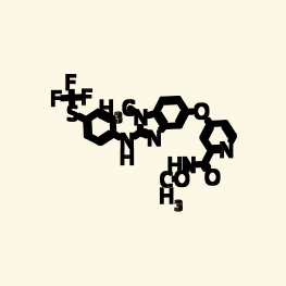 CONC(=O)c1cc(Oc2ccc3c(c2)nc(Nc2ccc(SC(F)(F)F)cc2)n3C)ccn1